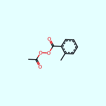 CC(=O)OOC(=O)c1ccccc1C